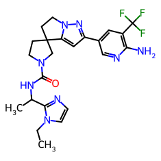 CCn1ccnc1C(C)NC(=O)N1CCC2(CCn3nc(-c4cnc(N)c(C(F)(F)F)c4)cc32)C1